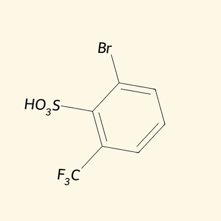 O=S(=O)(O)c1c(Br)cccc1C(F)(F)F